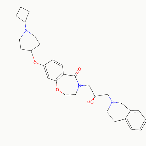 O=C1c2ccc(OC3CCN(C4CCC4)CC3)cc2OCCN1C[C@H](O)CN1CCc2ccccc2C1